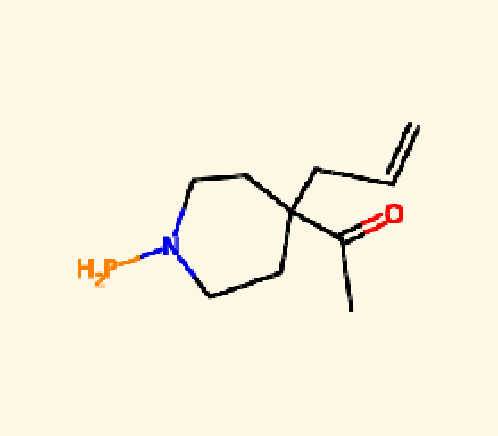 C=CCC1(C(C)=O)CCN(P)CC1